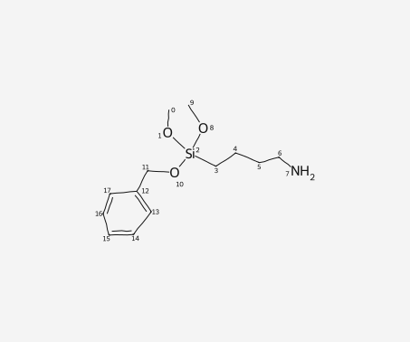 CO[Si](CCCCN)(OC)OCc1ccccc1